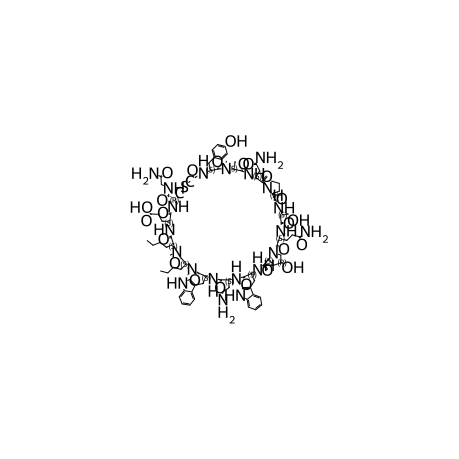 CCCC[C@H]1C(=O)N(C)[C@@H](CCCC)C(=O)N[C@@H](CCC(=O)O)C(=O)N[C@H](C(=O)NCC(N)=O)CSCC(=O)N[C@@H](Cc2ccc(O)cc2)C(=O)N(C)[C@@H](C)C(=O)N[C@@H](CC(N)=O)C(=O)N2CCC[C@H]2C(=O)N[C@@H](CO)C(=O)N[C@@H](CCC(N)=O)C(=O)N2C[C@H](O)C[C@H]2C(=O)N[C@@H](Cc2c[nH]c3ccccc23)C(=O)N[C@@H](CCN)C(=O)N[C@@H](Cc2c[nH]c3ccccc23)C(=O)N1C